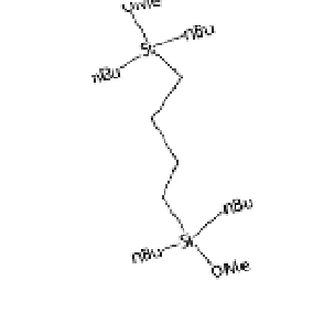 CCCC[Si](CCCC)(CCCC[Si](CCCC)(CCCC)OC)OC